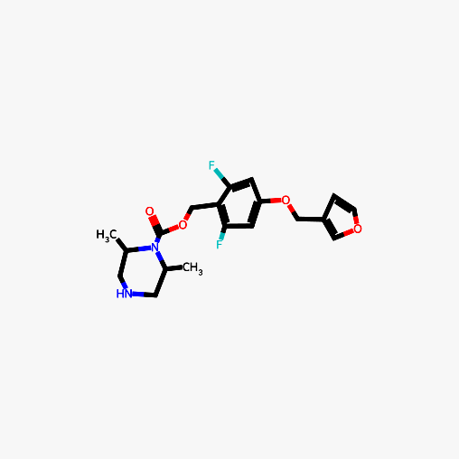 CC1CNCC(C)N1C(=O)OCc1c(F)cc(OCc2ccoc2)cc1F